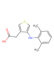 Cc1cccc(C)c1Nc1cscc1CC(=O)O